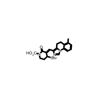 Cc1cccc2c1CCc1c(C=C3C(=O)N(C(=O)O)CCC3C(C)(C)C)ncn1-2